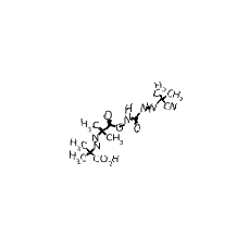 CC(C)(C#N)N=NC(=O)NOC(=O)C(C)(C)N=NC(C)(C)C(=O)O